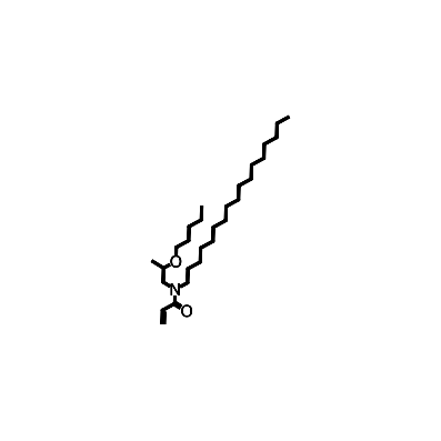 C=CC(=O)N(CCCCCCCCCCCCCCCCC)CC(C)OCCCCC